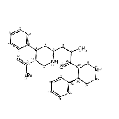 CC(CC1CC(c2ccccc2)[C@@H](C(=O)C(C)(C)C)CN1)C(=O)C1CNCC[C@H]1c1ccccc1